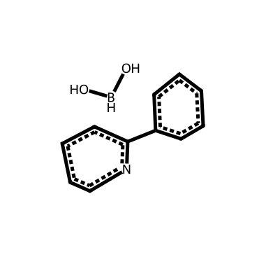 OBO.c1ccc(-c2ccccn2)cc1